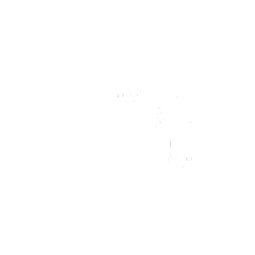 CC#CCCCc1c(C(=O)O)cccc1C(=O)O